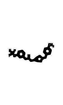 Cc1ccc(CN2CC3C(CNCc4cccc(OC(F)(F)F)c4)C3C2)cc1